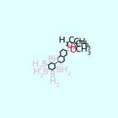 Bc1c(B)c(B)c(-c2ccc3cc(B4OC(C)(C)C(C)(C)O4)ccc3c2)c(B)c1B